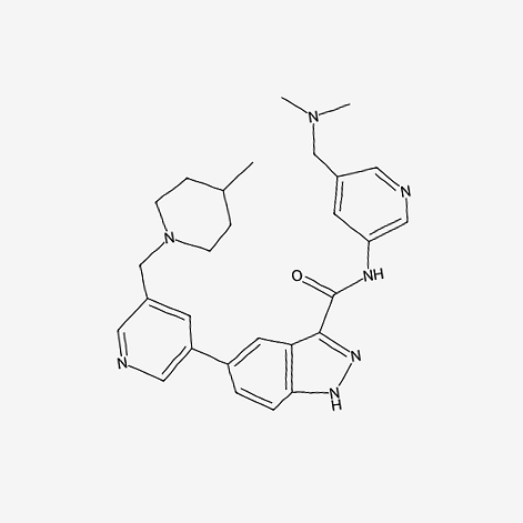 CC1CCN(Cc2cncc(-c3ccc4[nH]nc(C(=O)Nc5cncc(CN(C)C)c5)c4c3)c2)CC1